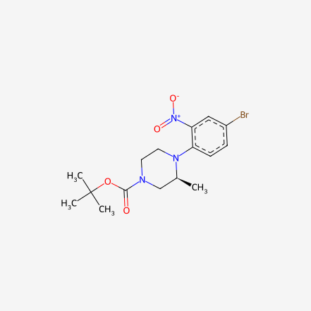 C[C@H]1CN(C(=O)OC(C)(C)C)CCN1c1ccc(Br)cc1[N+](=O)[O-]